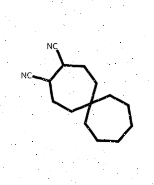 N#CC1CCC2(CCCCCC2)CCC1C#N